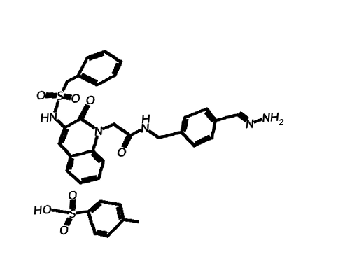 Cc1ccc(S(=O)(=O)O)cc1.NN=Cc1ccc(CNC(=O)Cn2c(=O)c(NS(=O)(=O)Cc3ccccc3)cc3ccccc32)cc1